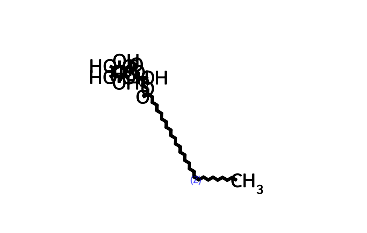 CCCCCCCC/C=C\CCCCCCCCCCCCCCCCCCCC(=O)OC[C@H](O)COP(=O)(O)OC1C(O)C(O)C(O)C(O)C1O